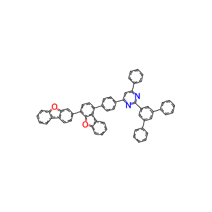 c1ccc(-c2cc(-c3ccccc3)cc(-c3nc(-c4ccccc4)cc(-c4ccc(-c5ccc(-c6ccc7c(c6)oc6ccccc67)c6oc7ccccc7c56)cc4)n3)c2)cc1